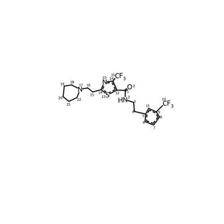 O=C(NCCc1cccc(C(F)(F)F)c1)c1sc(CCN2CCCCC2)nc1C(F)(F)F